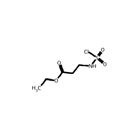 CCOC(=O)CCNS(=O)(=O)Cl